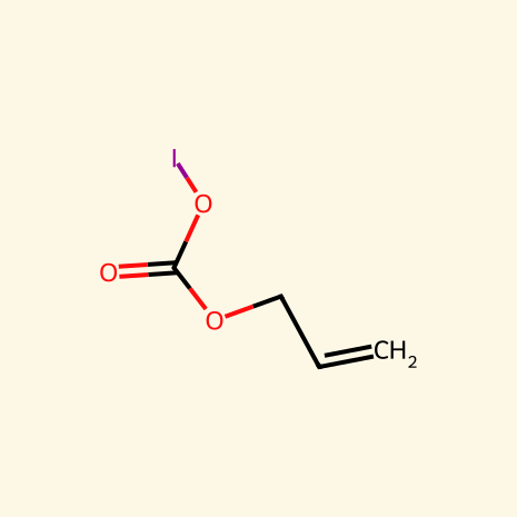 C=CCOC(=O)OI